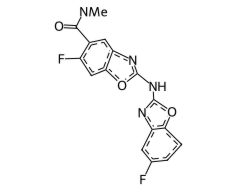 CNC(=O)c1cc2nc(Nc3nc4cc(F)ccc4o3)oc2cc1F